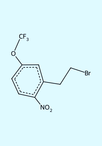 O=[N+]([O-])c1ccc(OC(F)(F)F)cc1CCBr